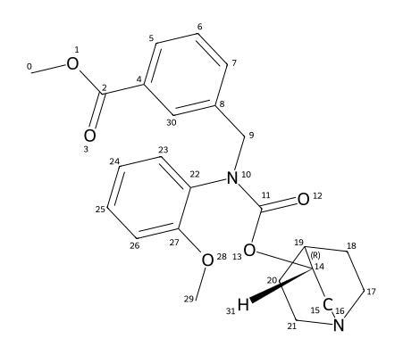 COC(=O)c1cccc(CN(C(=O)O[C@H]2CN3CCC2CC3)c2ccccc2OC)c1